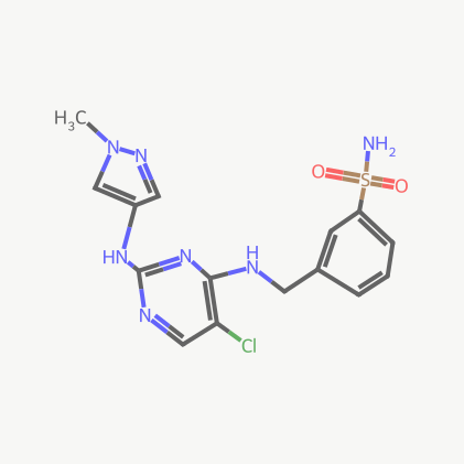 Cn1cc(Nc2ncc(Cl)c(NCc3cccc(S(N)(=O)=O)c3)n2)cn1